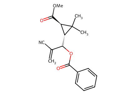 C=C(C#N)C(OC(=O)c1ccccc1)[C@@H]1[C@@H](C(=O)OC)C1(C)C